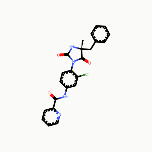 C[C@]1(Cc2ccccc2)NC(=O)N(c2ccc(NC(=O)c3ccccn3)cc2Cl)C1=O